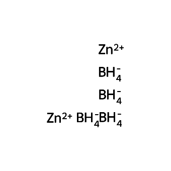 [BH4-].[BH4-].[BH4-].[BH4-].[Zn+2].[Zn+2]